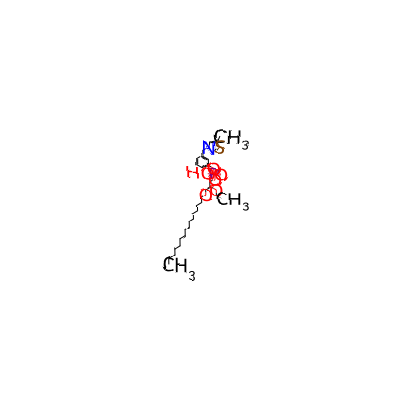 CCCCCCCCCCCCCCCCOCC(COP(=O)(O)Oc1cccc(CN2C=C(C)SC2)c1)OCC